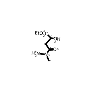 CCOC(=O)C(O)CC(=O)N(C)N